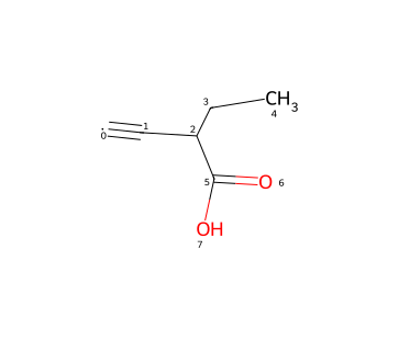 [C]#CC(CC)C(=O)O